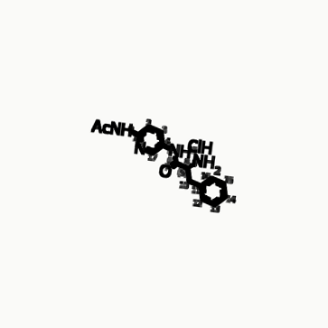 CC(=O)Nc1ccc(NC(=O)[C@@H](N)Cc2ccccc2)cn1.Cl